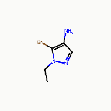 CCn1ncc(N)c1Br